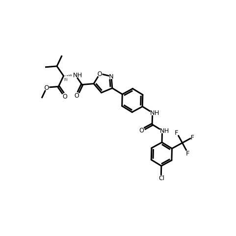 COC(=O)[C@@H](NC(=O)c1cc(-c2ccc(NC(=O)Nc3ccc(Cl)cc3C(F)(F)F)cc2)no1)C(C)C